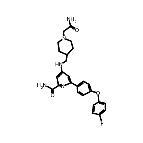 NC(=O)CN1CCC(CNc2cc(C(N)=O)nc(-c3ccc(Oc4ccc(F)cc4)cc3)c2)CC1